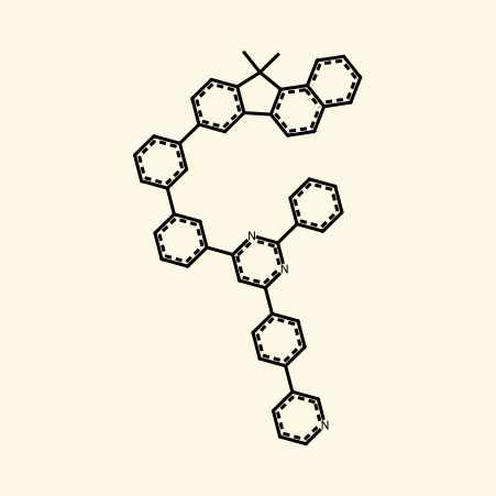 CC1(C)c2ccc(-c3cccc(-c4cccc(-c5cc(-c6ccc(-c7cccnc7)cc6)nc(-c6ccccc6)n5)c4)c3)cc2-c2ccc3ccccc3c21